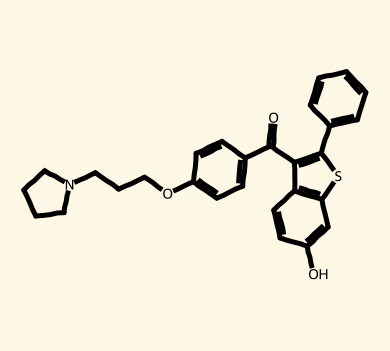 O=C(c1ccc(OCCCN2CCCC2)cc1)c1c(-c2ccccc2)sc2cc(O)ccc12